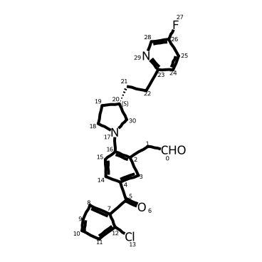 O=CCc1cc(C(=O)c2ccccc2Cl)ccc1N1CC[C@H](CCc2ccc(F)cn2)C1